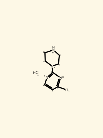 Cl.Clc1ccnc(N2CCNCC2)n1